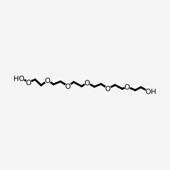 OCCOCCOCCOCCOCCOCCOO